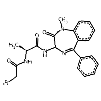 CC(C)CC(=O)N[C@@H](C)C(=O)NC1N=C(c2ccccc2)c2ccccc2N(C)C1=O